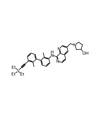 CCS(C#Cc1cccc(-c2cccc(Nc3nccc4cc(CN5CCC(O)C5)cnc34)c2C)c1C)(CC)CC